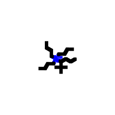 CCCC[N+](CCCC)(CCCC)C(CCC)C(C)(C)C